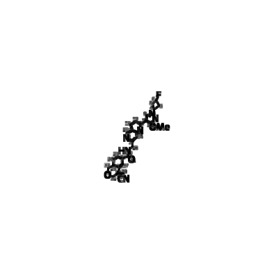 COc1nn([C@H]2C[C@H](F)C2)cc1-c1ccc2cnc(CNC(=O)c3ccc4c(c3)[C@](C)(C#N)COC4)cc2n1